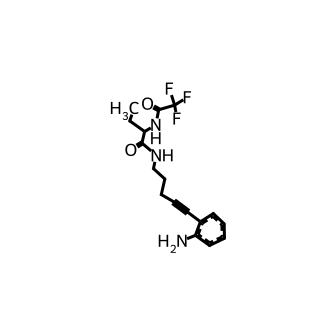 CCC(NC(=O)C(F)(F)F)C(=O)NCCCC#Cc1ccccc1N